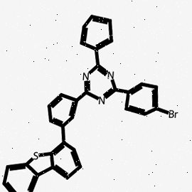 Brc1ccc(-c2nc(-c3ccccc3)nc(-c3cccc(-c4cccc5c4sc4ccccc45)c3)n2)cc1